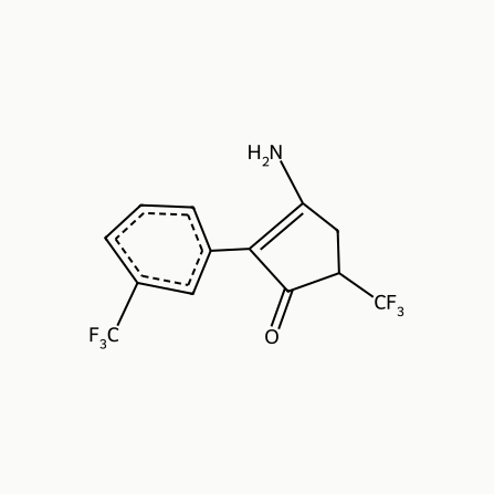 NC1=C(c2cccc(C(F)(F)F)c2)C(=O)C(C(F)(F)F)C1